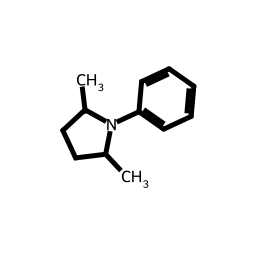 C[C]1CCC(C)N1c1ccccc1